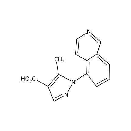 Cc1c(C(=O)O)cnn1-c1cccc2cnccc12